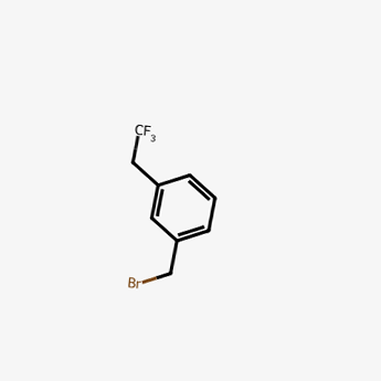 FC(F)(F)Cc1cccc(CBr)c1